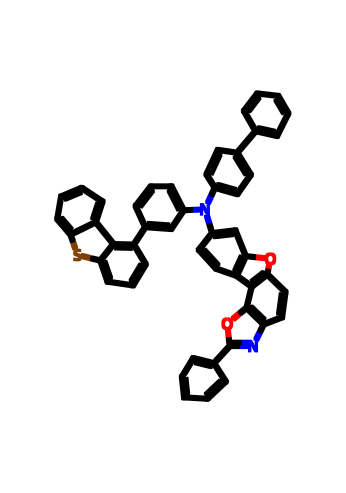 c1ccc(-c2ccc(N(c3cccc(-c4cccc5sc6ccccc6c45)c3)c3ccc4c(c3)oc3ccc5nc(-c6ccccc6)oc5c34)cc2)cc1